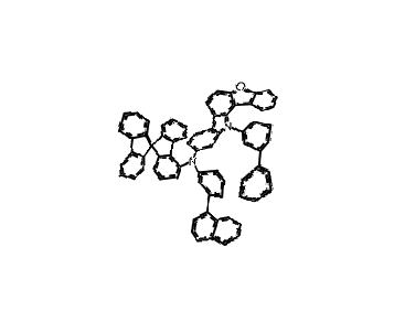 c1ccc(-c2cccc(-n3c4cc(N(c5cccc(-c6cccc7ccccc67)c5)c5cccc6c5-c5ccccc5C65c6ccccc6-c6ccccc65)ccc4c4ccc5oc6ccccc6c5c43)c2)cc1